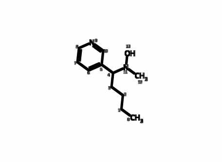 CCCCC(c1cccnc1)N(C)O